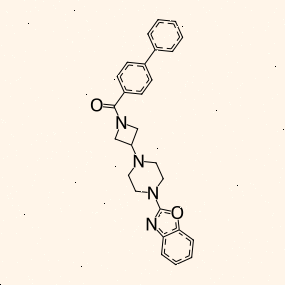 O=C(c1ccc(-c2ccccc2)cc1)N1CC(N2CCN(c3nc4ccccc4o3)CC2)C1